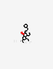 CO/C=C/c1c(-c2cccn3c(C(=O)c4cc(F)c(F)c(F)c4)cc([N+](=O)[O-])c23)c(C(F)(F)F)cc2c1nc(C)n2C